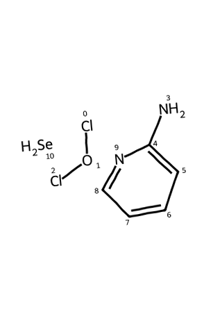 ClOCl.Nc1ccccn1.[SeH2]